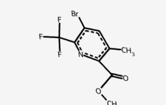 COC(=O)c1nc(C(F)(F)F)c(Br)cc1C